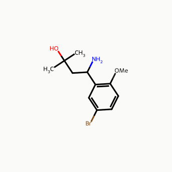 COc1ccc(Br)cc1C(N)CC(C)(C)O